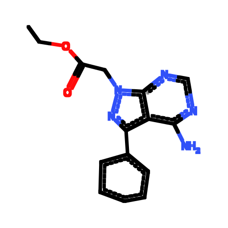 CCOC(=O)Cn1nc(-c2ccccc2)c2c(N)ncnc21